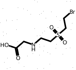 O=C(O)CNCCS(=O)(=O)CCBr